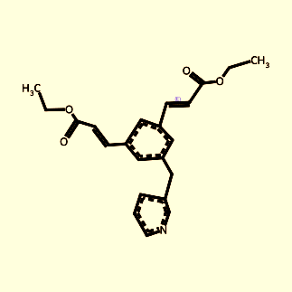 CCOC(=O)C=Cc1cc(/C=C/C(=O)OCC)cc(Cc2cccnc2)c1